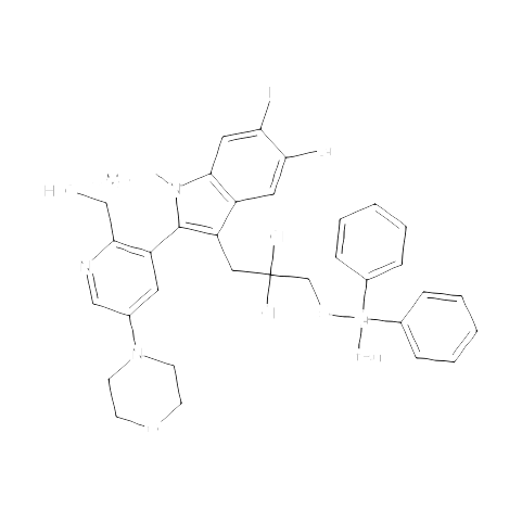 CCn1c(-c2cc(N3CCOCC3)cnc2[C@H](C)OC)c(CC(C)(C)CO[Si](c2ccccc2)(c2ccccc2)C(C)(C)C)c2cc(Br)c(F)cc21